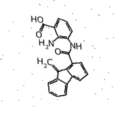 C=C1c2ccccc2-c2cccc(C(=O)Nc3cccc(C(=O)O)c3N)c21